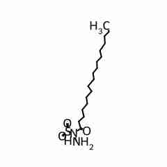 CCCCCCCCCCCCCCCCCC(=O)N(N)[SH](=O)=O